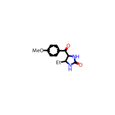 CCC1NC(=O)NC1C(=O)c1ccc(OC)cc1